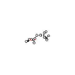 c1ccc(-n2c3ccccc3c3ccc(N(c4ccc(-c5cccc(-c6ccc7c(c6)c6cc8ccc9c%10ccccc%10sc9c8cc6n7-c6ccccc6)c5)cc4)c4ccc5ccccc5c4)cc32)cc1